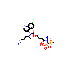 CC(CCCN)N(C(=O)OCCCC(=O)NC(P(C)(=O)O)P(=O)(O)O)c1ccnc2cc(Cl)ccc12